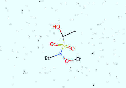 CCON(CC)S(=O)(=O)C(C)O